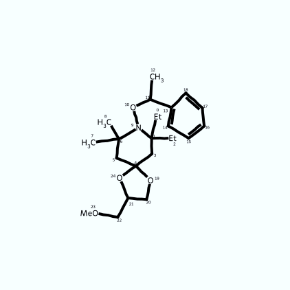 CCC1(CC)CC2(CC(C)(C)N1OC(C)c1ccccc1)OCC(COC)O2